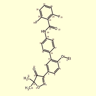 CCOc1ccc(C2=NOC(C)(C)C2=O)cc1-c1ccc(NC(=O)c2c(F)cccc2F)cc1